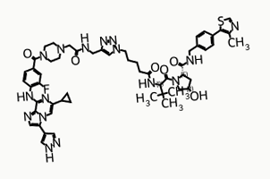 Cc1ncsc1-c1ccc(CNC(=O)[C@@H]2C[C@@H](O)CN2C(=O)[C@H](NC(=O)CCCCn2cc(CNC(=O)CN3CCN(C(=O)c4ccc(Nc5nc(C6CC6)cn6c(-c7cn[nH]c7)cnc56)c(F)c4)CC3)nn2)C(C)(C)C)cc1